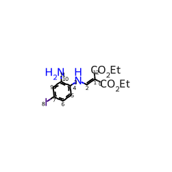 CCOC(=O)C(=CNc1ccc(I)cc1N)C(=O)OCC